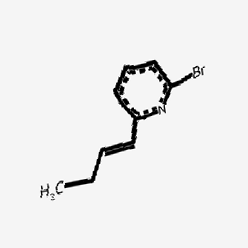 CCC=Cc1cccc(Br)n1